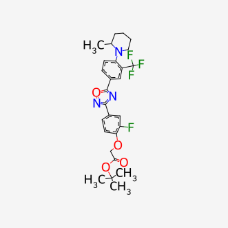 CC1CCCCN1c1ccc(-c2nc(-c3ccc(OCC(=O)OC(C)(C)C)c(F)c3)no2)cc1C(F)(F)F